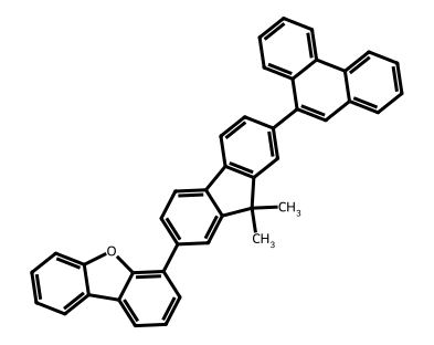 CC1(C)c2cc(-c3cc4ccccc4c4ccccc34)ccc2-c2ccc(-c3cccc4c3oc3ccccc34)cc21